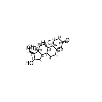 C/C=C1/[C@H](O)CC2C3CCC4=CC(=O)CC[C@]4(C)C3CCC12C